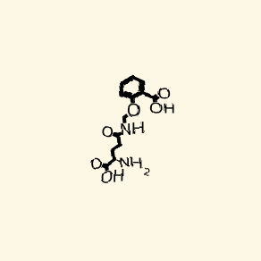 N[C@@H](CCC(=O)NCOc1ccccc1C(=O)O)C(=O)O